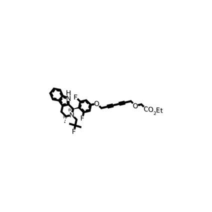 CCOC(=O)COCC#CC#CCOc1cc(F)c([C@@H]2c3[nH]c4ccccc4c3C[C@@H](C)N2CC(C)(C)F)c(F)c1